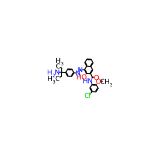 CCC(N)(CC)c1ccc(N=Nc2c(O)c(C(=O)Nc3cc(Cl)ccc3OC)cc3ccccc23)cc1